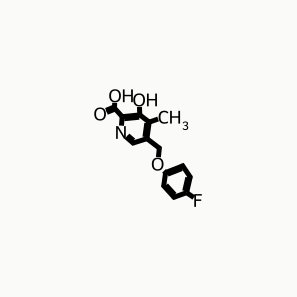 Cc1c(COc2ccc(F)cc2)cnc(C(=O)O)c1O